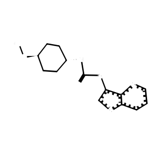 CCCO[C@H]1CC[C@H](NC(=O)Nc2c[nH]c3cccnc23)CC1